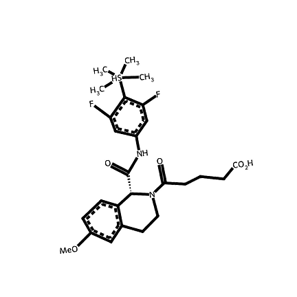 COc1ccc2c(c1)CCN(C(=O)CCCC(=O)O)[C@H]2C(=O)Nc1cc(F)c([SH](C)(C)(C)C)c(F)c1